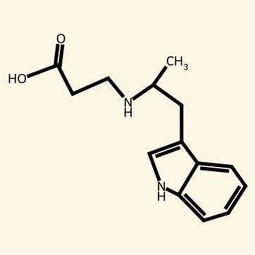 CC(Cc1c[nH]c2ccccc12)NCCC(=O)O